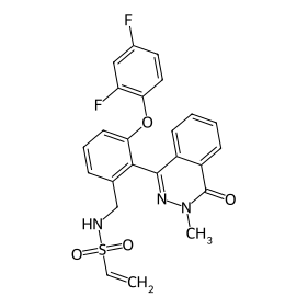 C=CS(=O)(=O)NCc1cccc(Oc2ccc(F)cc2F)c1-c1nn(C)c(=O)c2ccccc12